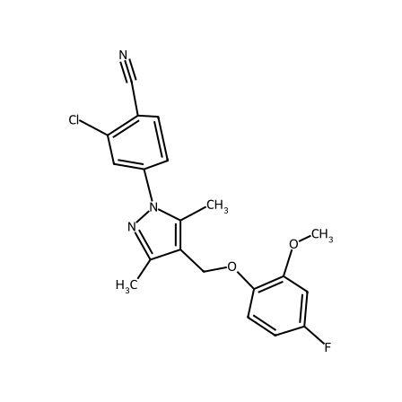 COc1cc(F)ccc1OCc1c(C)nn(-c2ccc(C#N)c(Cl)c2)c1C